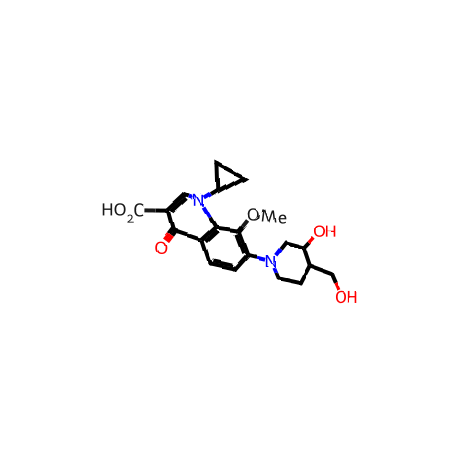 COc1c(N2CCC(CO)C(O)C2)ccc2c(=O)c(C(=O)O)cn(C3CC3)c12